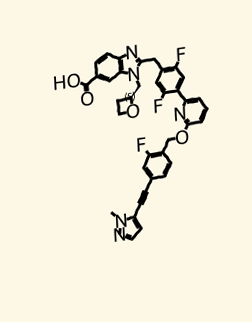 Cn1nccc1C#Cc1ccc(COc2cccc(-c3cc(F)c(Cc4nc5ccc(C(=O)O)cc5n4C[C@@H]4CCO4)cc3F)n2)c(F)c1